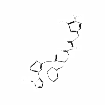 COc1ccc(CC(=O)NC(=N)N[C@H](CC2CCCCC2)C(=O)NCc2cccc(-c3ccnn3C)c2)cc1OC